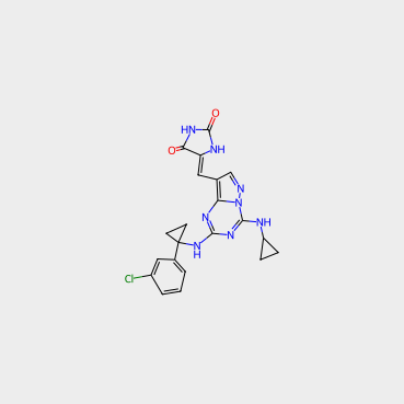 O=C1NC(=O)/C(=C/c2cnn3c(NC4CC4)nc(NC4(c5cccc(Cl)c5)CC4)nc23)N1